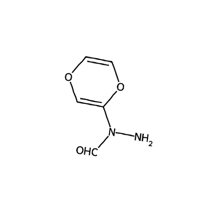 NN(C=O)C1=COC=CO1